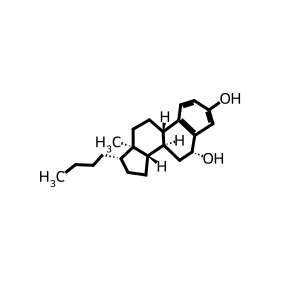 CCCC[C@H]1CC[C@H]2[C@@H]3C[C@@H](O)c4cc(O)ccc4[C@H]3CC[C@]12C